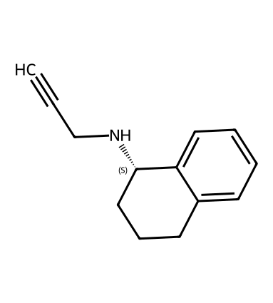 C#CCN[C@H]1CCCc2ccccc21